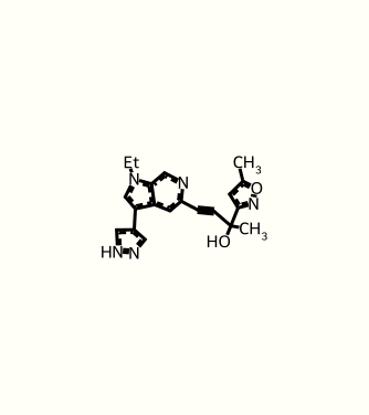 CCn1cc(-c2cn[nH]c2)c2cc(C#CC(C)(O)c3cc(C)on3)ncc21